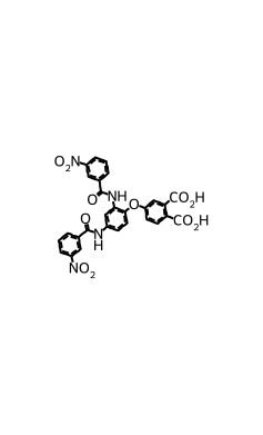 O=C(Nc1ccc(Oc2ccc(C(=O)O)c(C(=O)O)c2)c(NC(=O)c2cccc([N+](=O)[O-])c2)c1)c1cccc([N+](=O)[O-])c1